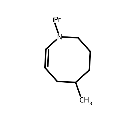 CC1C/C=C\N(C(C)C)CCC1